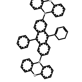 C1=CCCC(c2c3cc(N4c5ccccc5Oc5ccccc54)ccc3c(-c3ccccc3)c3cc(N4c5ccccc5Oc5ccccc54)ccc23)=C1